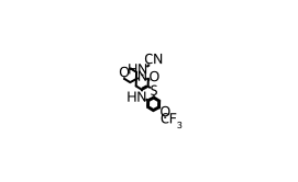 N#CCNN1C(=O)C2=C(CC13CCOCC3)Nc1ccc(OC(F)(F)F)cc1S2